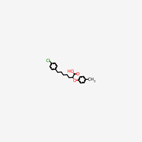 Cc1ccc(OC(CCCCCc2ccc(Cl)cc2)C(=O)O)cc1